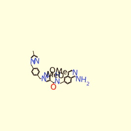 COCc1nn(Cc2ccc(Cn3cc(C)cn3)cc2)cc1C(=O)NCc1ccc2c(N)nccc2c1OC